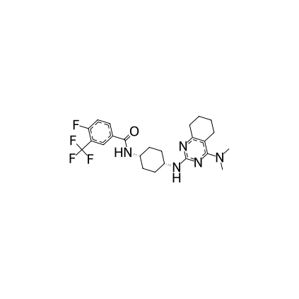 CN(C)c1nc(N[C@H]2CC[C@@H](NC(=O)c3ccc(F)c(C(F)(F)F)c3)CC2)nc2c1CCCC2